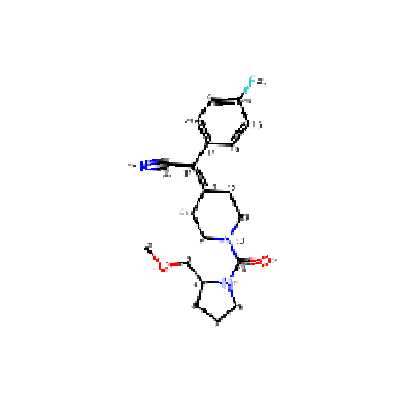 COCC1CCCN1C(=O)N1CCC(=C(C#N)c2ccc(F)cc2)CC1